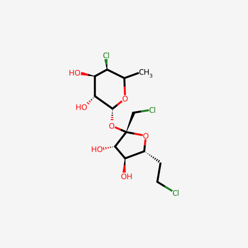 CC1O[C@H](O[C@]2(CCl)O[C@H](CCCl)[C@@H](O)[C@@H]2O)[C@H](O)[C@@H](O)[C@H]1Cl